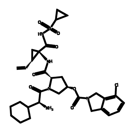 C=C[C@@H]1C[C@]1(NC(=O)[C@@H]1C[C@@H](OC(=O)N2Cc3cccc(Cl)c3C2)CN1C(=O)[C@@H](N)C1CCCCC1)C(=O)NS(=O)(=O)C1CC1